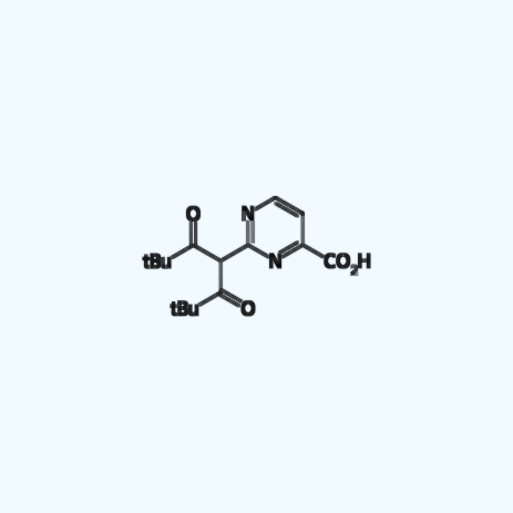 CC(C)(C)C(=O)C(C(=O)C(C)(C)C)c1nccc(C(=O)O)n1